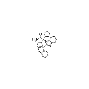 NC(=O)C(C1CCCC1)(C1CCCC1)n1c(-c2cccc3ccccc23)nc2ccccc21